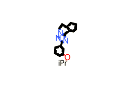 CC(C)Oc1cccc(-c2nc3c4ccccc4ccn3n2)c1